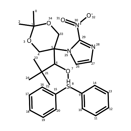 CC1(C)OCC(C(O[SiH](c2ccccc2)c2ccccc2)C(C)(C)C)(n2ccnc2[N+](=O)[O-])CO1